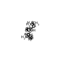 C[Si](C)(C)c1cccc(CN[C@H]2CS(=O)(=O)C[C@@H](Cc3cc(F)c(N)c(OC(C(F)(F)F)C(F)(F)F)c3)[C@@H]2O)c1